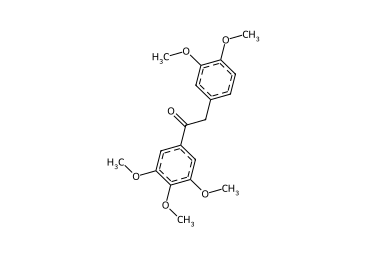 COc1ccc(CC(=O)c2cc(OC)c(OC)c(OC)c2)cc1OC